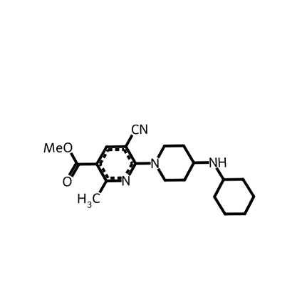 COC(=O)c1cc(C#N)c(N2CCC(NC3CCCCC3)CC2)nc1C